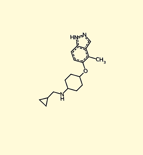 Cc1c(OC2CCC(NCC3CC3)CC2)ccc2[nH]ncc12